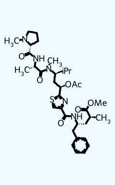 COC(=O)[C@@H](C)C[C@H](Cc1ccccc1)NC(=O)c1csc([C@@H](C[C@H](C(C)C)N(C)C(=O)[C@H](C)NC(=O)[C@H]2CCCN2C)OC(C)=O)n1